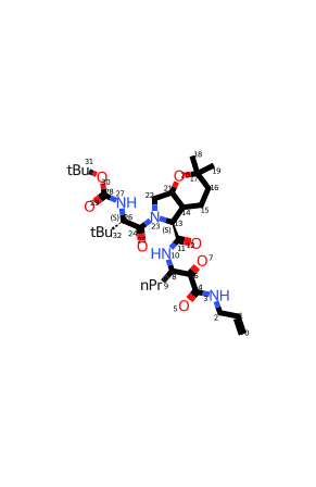 C=CCNC(=O)C(=O)C(CCC)NC(=O)[C@@H]1C2CCC(C)(C)OC2CN1C(=O)[C@@H](NC(=O)OC(C)(C)C)C(C)(C)C